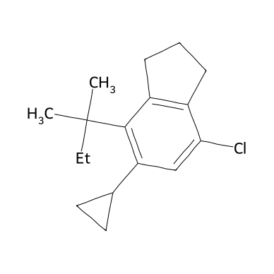 CCC(C)(C)c1c(C2CC2)cc(Cl)c2c1CCC2